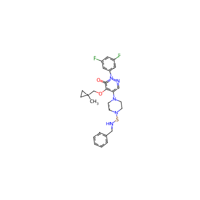 CC1(COc2c(N3CCN(SNCc4ccccc4)CC3)cnn(-c3cc(F)cc(F)c3)c2=O)CC1